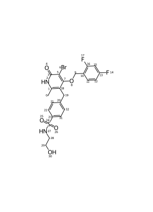 Cc1[nH]c(=O)c(Br)c(OCc2ccc(F)cc2F)c1Cc1ccc(S(=O)(=O)NCCO)cc1